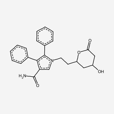 NC(=O)c1cn(CCC2CC(O)CC(=O)O2)c(-c2ccccc2)c1-c1ccccc1